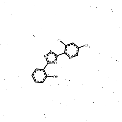 Oc1ccccc1-c1nnc(-c2ncc(C(F)(F)F)cc2Cl)o1